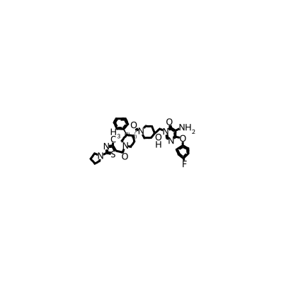 Cc1nc(N2CCCC2)sc1C(=O)N1CC[C@@H](C(=O)N2CCC(O)(Cn3cnc(Oc4ccc(F)cc4)c(N)c3=O)CC2)[C@H](c2ccccc2)C1